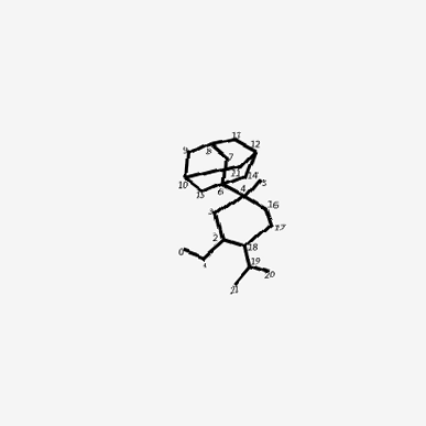 CCC1CC(C)(C23CC4CC(CC(C4)C2)C3)CCC1C(C)C